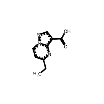 CCc1ccn2ncc(C(=O)O)c2n1